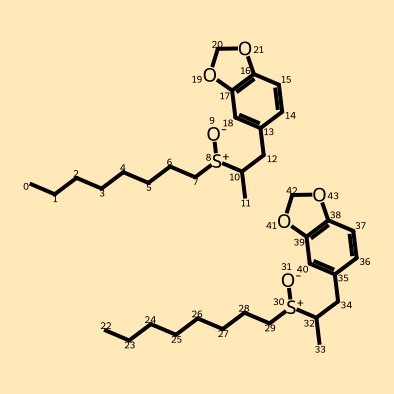 CCCCCCCC[S+]([O-])C(C)Cc1ccc2c(c1)OCO2.CCCCCCCC[S+]([O-])C(C)Cc1ccc2c(c1)OCO2